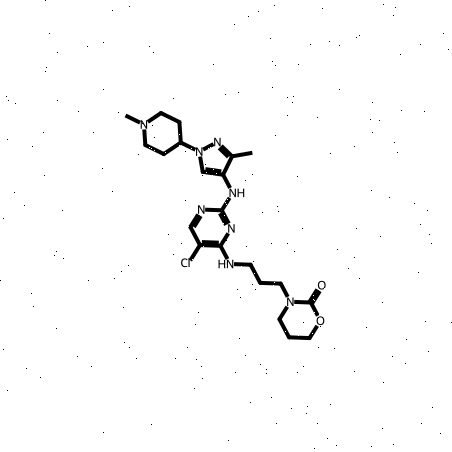 Cc1nn(C2CCN(C)CC2)cc1Nc1ncc(Cl)c(NCCCN2CCCOC2=O)n1